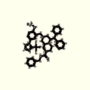 COc1ccc(-n2nnnc2C(F)(F)F)cc1CN1CC2CN(C(=O)OCc3ccccc3)CCN2C(C(c2ccccc2)c2ccccc2)C1